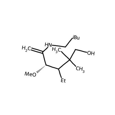 C=C(NCC(C)CC)[C@@H](OC)C(CC)C(C)(C)CO